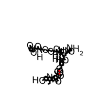 CCc1c2c(nc3ccc(O)cc13)-c1cc3c(c(=O)n1C2)COC(=O)[C@@]3(CC)OC(=O)OCc1ccc(NC(=O)[C@H](CCCNC(N)=O)NC(=O)[C@@H](NC(=O)CCOCCOCCNC(=O)CCN2C(=O)C=CC2=O)C(C)C)cc1